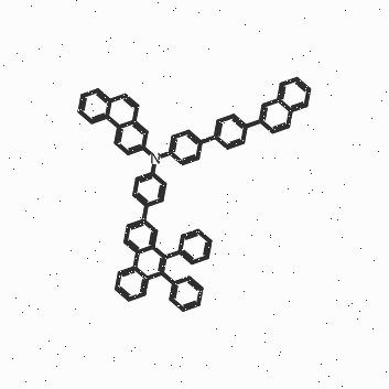 c1ccc(-c2c(-c3ccccc3)c3cc(-c4ccc(N(c5ccc(-c6ccc(-c7ccc8ccccc8c7)cc6)cc5)c5ccc6c(ccc7ccccc76)c5)cc4)ccc3c3ccccc23)cc1